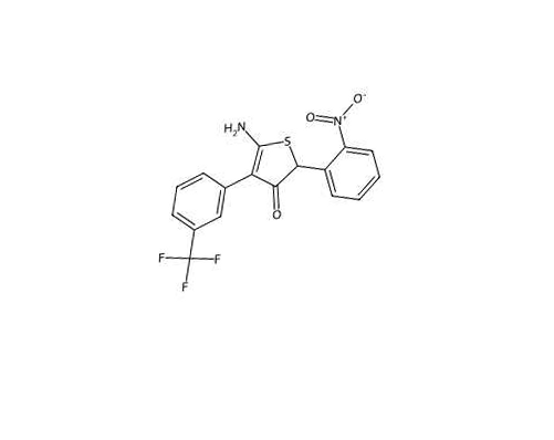 NC1=C(c2cccc(C(F)(F)F)c2)C(=O)C(c2ccccc2[N+](=O)[O-])S1